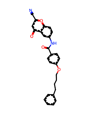 N#Cc1cc(=O)c2cc(NC(=O)c3ccc(OCCCCc4ccccc4)cc3)ccc2o1